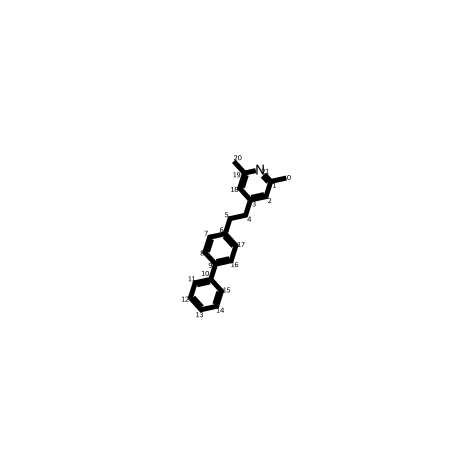 Cc1cc(CCc2ccc(-c3ccccc3)cc2)cc(C)n1